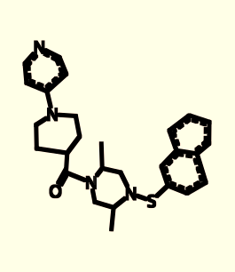 CC1CN(C(=O)C2CCN(c3ccncc3)CC2)C(C)CN1Sc1ccc2ccccc2c1